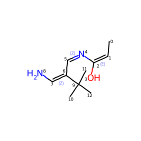 C\C=C(O)/N=C\C(=C/N)C(C)(C)C